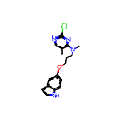 Cc1cnc(Cl)nc1N(C)CCCOc1ccc2[nH]ccc2c1